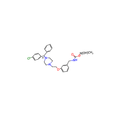 CN(O)OC(=O)NCc1cccc(OCCN2CCN([C@H](c3ccccc3)c3ccc(Cl)cc3)CC2)c1